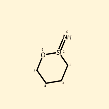 N=[Si]1CCCCO1